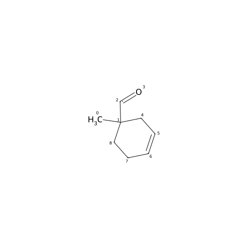 CC1([C]=O)CC=CCC1